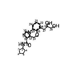 O=C(NC1CCCC1)c1ncn2c1COc1c(CC(O)CO)cccc1-2